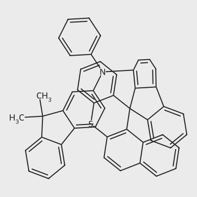 CC1(C)c2ccccc2-c2ccc(N(c3ccccc3)c3cccc4c3C3(c5ccccc5Sc5ccc6ccccc6c53)c3ccccc3-4)cc21